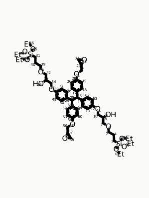 CCO[Si](CCCOCC(O)COc1ccc(C(c2ccc(OCC3CO3)cc2)C(c2ccc(OCC(O)COCCC[Si](OCC)(OCC)OCC)cc2)c2ccc(OCC3CO3)cc2)cc1)(OCC)OCC